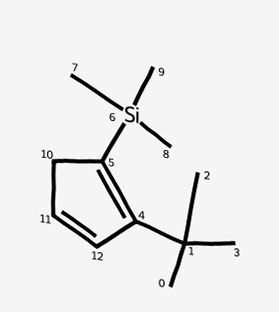 CC(C)(C)C1=C([Si](C)(C)C)CC=C1